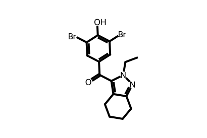 CCn1nc2c(c1C(=O)c1cc(Br)c(O)c(Br)c1)CCCC2